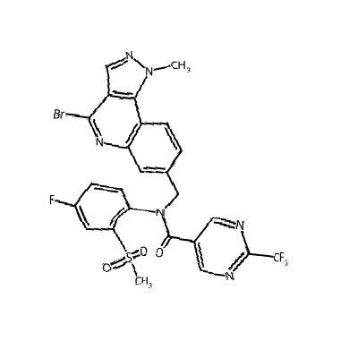 Cn1ncc2c(Br)nc3cc(CN(C(=O)c4cnc(C(F)(F)F)nc4)c4ccc(F)cc4S(C)(=O)=O)ccc3c21